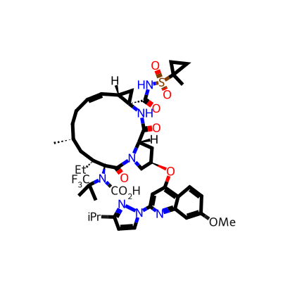 CC[C@@H]1C[C@H](C)CCC=C[C@@H]2C[C@@]2(C(=O)NS(=O)(=O)C2(C)CC2)NC(=O)[C@@H]2C[C@@H](Oc3cc(-n4ccc(C(C)C)n4)nc4cc(OC)ccc34)CN2C(=O)[C@H]1N(C(=O)O)C(C)(C)C(F)(F)F